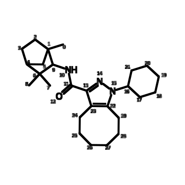 CC12CCC(C1)C(C)(C)C2NC(=O)c1nn(C2CCCCC2)c2c1CCCCCC2